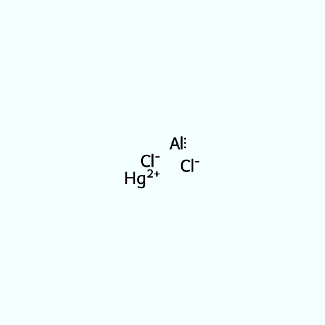 [Al].[Cl-].[Cl-].[Hg+2]